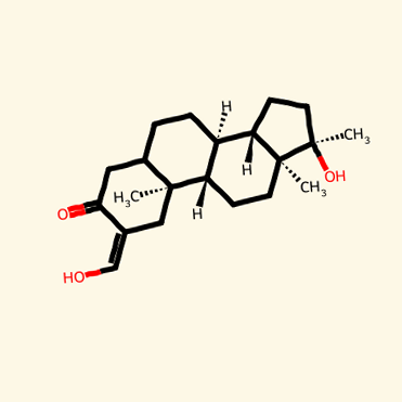 C[C@]12CC(=CO)C(=O)CC1CC[C@@H]1[C@@H]2CC[C@@]2(C)[C@H]1CC[C@@]2(C)O